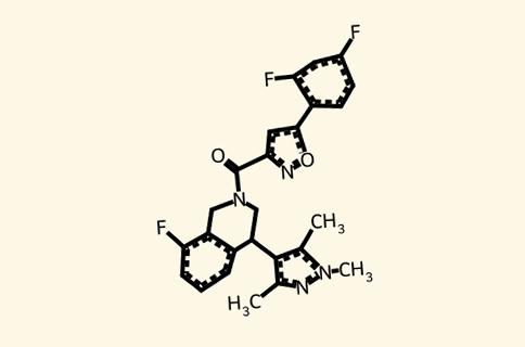 Cc1nn(C)c(C)c1C1CN(C(=O)c2cc(-c3ccc(F)cc3F)on2)Cc2c(F)cccc21